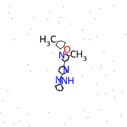 Cc1cc(-c2ccc(-c3nc4ccccc4[nH]3)cn2)cnc1O[C@H]1CC[C@@H](C)CC1